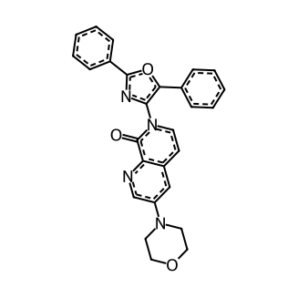 O=c1c2ncc(N3CCOCC3)cc2ccn1-c1nc(-c2ccccc2)oc1-c1ccccc1